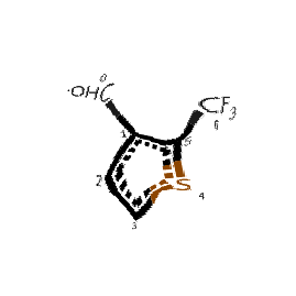 O=[C]c1ccsc1C(F)(F)F